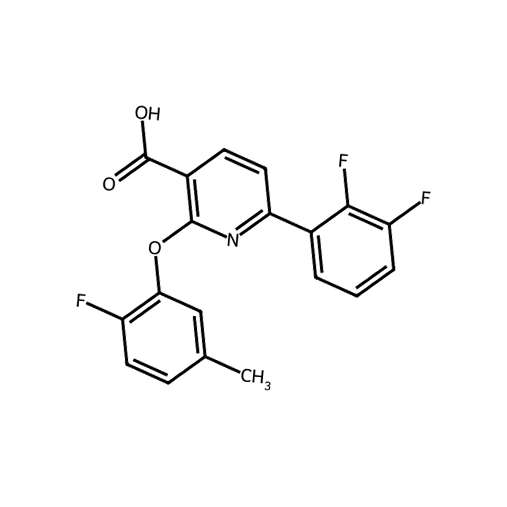 Cc1ccc(F)c(Oc2nc(-c3cccc(F)c3F)ccc2C(=O)O)c1